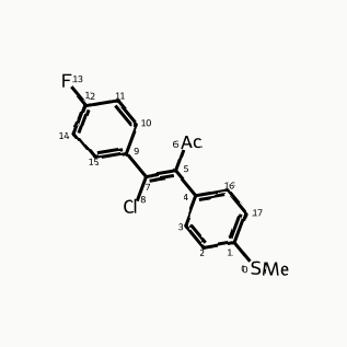 CSc1ccc(/C(C(C)=O)=C(\Cl)c2ccc(F)cc2)cc1